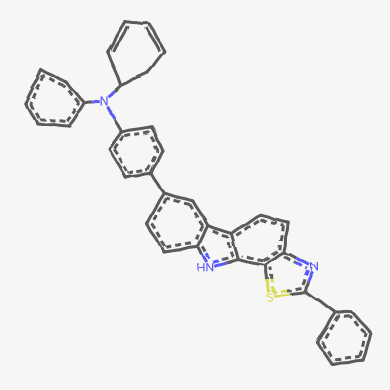 C1=CCC(N(c2ccccc2)c2ccc(-c3ccc4[nH]c5c(ccc6nc(-c7ccccc7)sc65)c4c3)cc2)C=C1